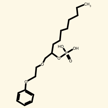 CCCCCCCCC(COCCOc1ccccc1)OP(=O)(O)O